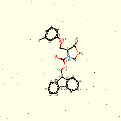 Cc1cccc(OCC2C(=O)OCN2C(=O)OCC2c3ccccc3-c3ccccc32)c1